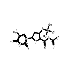 Cc1cn(C2CC(O[Si](C)(C)C(C)(C)C)C(C(=O)OC(=O)C(C)(C)C)O2)c(=O)[nH]c1=O